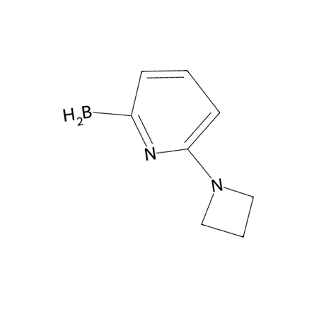 Bc1cccc(N2CCC2)n1